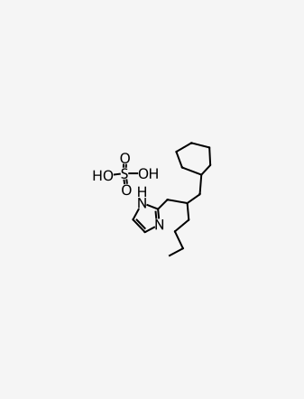 CCCCC(Cc1ncc[nH]1)CC1CCCCC1.O=S(=O)(O)O